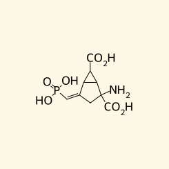 NC1(C(=O)O)CC(=CP(=O)(O)O)C2C(C(=O)O)C21